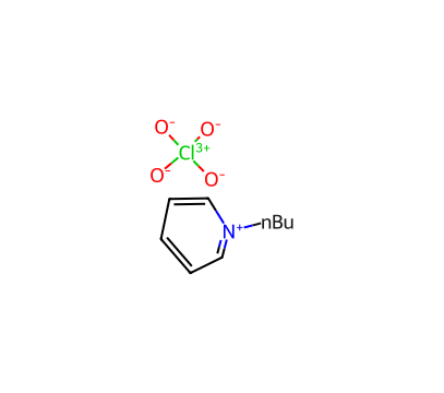 CCCC[n+]1ccccc1.[O-][Cl+3]([O-])([O-])[O-]